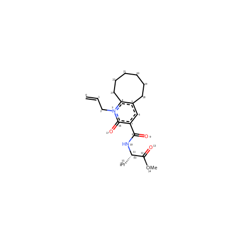 C=CCn1c2c(cc(C(=O)N[C@H](C(=O)OC)C(C)C)c1=O)CCCCCC2